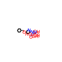 O=P(O)(O)C(Nc1ccc(OCc2ccccc2)cn1)P(=O)(O)O